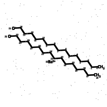 CCCCCCCCCCCCCCC[O-].CCCCCCCCCCCCCCC[O-].[Ba+2]